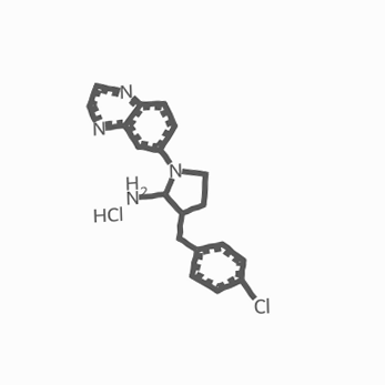 Cl.NC1C(Cc2ccc(Cl)cc2)CCN1c1ccc2nccnc2c1